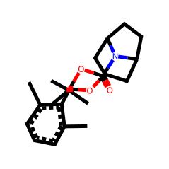 Cc1cccc(C)c1COC1CC2CCC(C1)N2C(=O)OC(C)(C)C